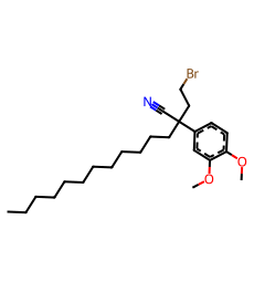 CCCCCCCCCCCCC(C#N)(CCBr)c1ccc(OC)c(OC)c1